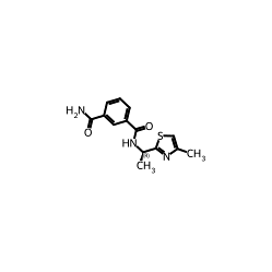 Cc1csc([C@@H](C)NC(=O)c2cccc(C(N)=O)c2)n1